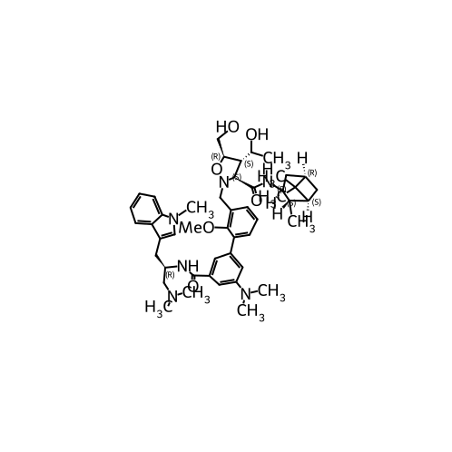 COc1c(CN2O[C@@H](CO)[C@H](C(C)O)[C@H]2C(=O)N[C@H]2C[C@H]3C[C@@H]([C@@H]2C)C3(C)C)cccc1-c1cc(C(=O)N[C@H](Cc2cn(C)c3ccccc23)CN(C)C)cc(N(C)C)c1